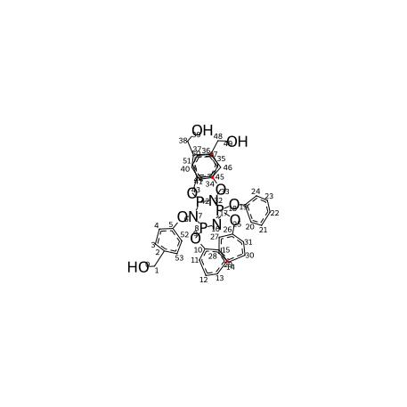 OCc1ccc(ON2P(Oc3ccccc3)N=P(Oc3ccccc3)(Oc3ccccc3)N(Oc3ccc(CO)cc3)P2Oc2ccc(CO)cc2)cc1